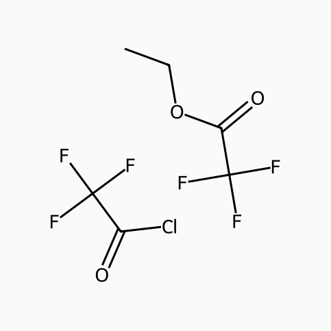 CCOC(=O)C(F)(F)F.O=C(Cl)C(F)(F)F